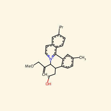 C=C(COC)C1C(CCO)c2ccc(C)cc2-c2c3ccc(C(C)C)cc3cc[n+]21